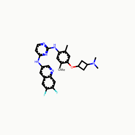 COc1cc(Nc2nccc(Nc3cnc4cc(F)c(F)cc4c3)n2)c(C)cc1OC1CC(N(C)C)C1